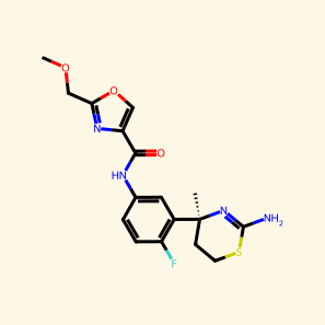 COCc1nc(C(=O)Nc2ccc(F)c([C@]3(C)CCSC(N)=N3)c2)co1